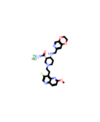 COc1ccc2ncc(F)c(CCN3CC[C@@H](NCc4cc5c(cn4)OCCO5)[C@@H](C(N)=O)C3)c2n1.Cl.Cl